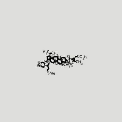 C=C(C)[C@@H]1CC[C@]2(NCC(CCSC)N3CCS(=O)(=O)CC3)CC[C@]3(C)[C@H](CC[C@@H]4[C@@]5(C)CC[C@H](OC(=O)[C@H]6[C@@H](CC(=O)O)C6(C)C)C(C)(C)[C@@H]5CC[C@]43C)[C@@H]12